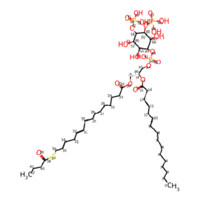 CCCCCCCCCCCCCCCC(=O)O[C@H](COC(=O)CCCCCCCCCCCCCCSC(=O)CCC)COP(=O)(O)OC1C(O)[C@@H](O)C(OP(=O)(O)O)[C@@H](OP(=O)(O)O)[C@H]1O